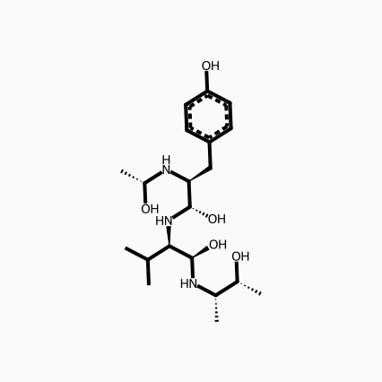 CC(C)[C@@H](N[C@@H](O)[C@H](Cc1ccc(O)cc1)N[C@@H](C)O)[C@@H](O)N[C@@H](C)[C@@H](C)O